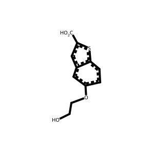 O=C(O)c1cc2cc(OCCO)ccc2s1